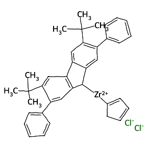 CC(C)(C)c1cc2c(cc1-c1ccccc1)[CH]([Zr+2][C]1=CC=CC1)c1cc(-c3ccccc3)c(C(C)(C)C)cc1-2.[Cl-].[Cl-]